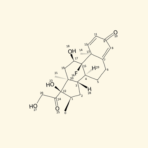 C[C@@H]1C[C@H]2[C@@H]3CCC4=CC(=O)C=C[C@]4(C)[C@@]3(F)[C@H](O)C[C@]2(C)[C@@]1(O)C(=O)CO